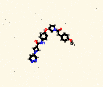 O=C(Nc1ccc(O[C@@H]2CCN(C(=O)Cc3ccc(OC(F)(F)F)cc3)C2)cc1)C1CN(c2ccnnc2)C1